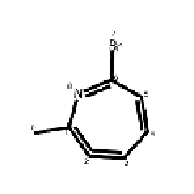 CC1=C=CC=CC(Br)=N1